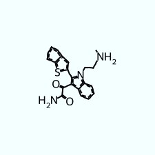 CCCn1c(-c2cc3ccccc3s2)c(C(=O)C(N)=O)c2ccccc21.CN